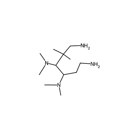 CN(C)C(CCN)C(N(C)C)C(C)(C)CN